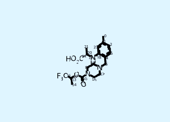 Cc1ccc(CN2CCN(C(=O)OC(C)C(F)(F)F)CC2)c(N[C@@H](C)C(=O)O)c1